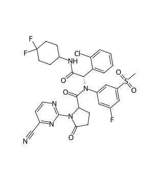 CS(=O)(=O)c1cc(F)cc(N(C(=O)C2CCC(=O)N2c2nccc(C#N)n2)[C@H](C(=O)NC2CCC(F)(F)CC2)c2ccccc2Cl)c1